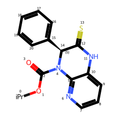 CC(C)OC(=O)N1c2ncccc2NC(=S)[C@@H]1c1ccccc1